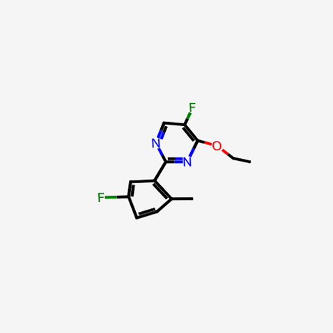 CCOc1nc(-c2cc(F)ccc2C)ncc1F